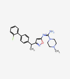 CC(c1ccc(-c2ccccc2F)cc1)c1cc(/N=C(/N)N2CCN(C)CC2)on1